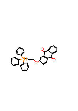 O=C1c2ccccc2C(=O)c2cc(OCCC[PH](c3ccccc3)(c3ccccc3)c3ccccc3)ccc21